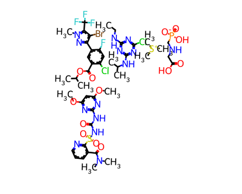 CC(C)OC(=O)c1cc(-c2nn(C)c(C(F)(F)F)c2Br)c(F)cc1Cl.CCNc1nc(Cl)nc(NC(C)C)n1.COc1cc(OC)nc(NC(=O)NS(=O)(=O)c2ncccc2C(=O)N(C)C)n1.C[S+](C)C.O=C(O)CNCP(=O)([O-])O